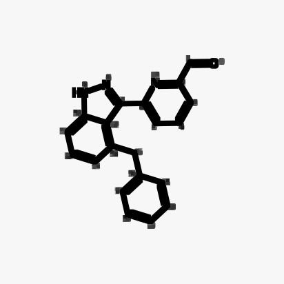 O=Cc1cccc(-c2n[nH]c3cccc(Cc4ccccc4)c23)n1